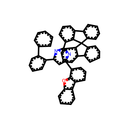 c1ccc(-c2ccccc2-c2cc(-c3cccc4c3oc3ccccc34)nc(-c3cccc4c3C3(c5ccccc5-c5ccccc53)c3ccccc3-4)n2)cc1